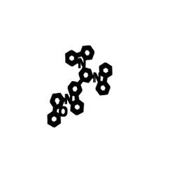 c1ccc2c(c1)oc1c(-n3c4ccccc4c4cc(-c5cc(-n6c7ccccc7c7ccccc76)cc(-n6c7ccccc7c7ccccc76)c5)ccc43)cccc12